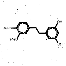 COc1ccc(CCc2cc(O)cc(O)c2)cc1OC